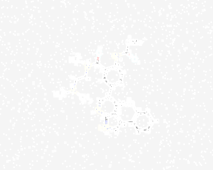 COC(=O)Nc1ccc(-c2cnc3[nH]cc(-c4ccccc4OC)c3c2)cc1C(=O)N(C)CCN(C)C